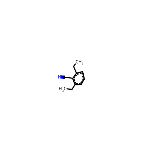 CCc1cccc(CC)c1C#N